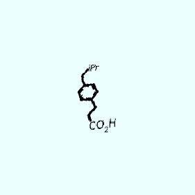 CC(C)Cc1ccc(CCC(=O)O)cc1